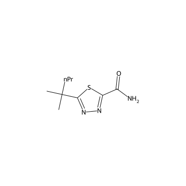 CCCC(C)(C)c1nnc(C(N)=O)s1